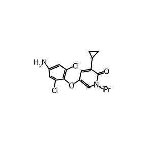 CC(C)n1cc(Oc2c(Cl)cc(N)cc2Cl)cc(C2CC2)c1=O